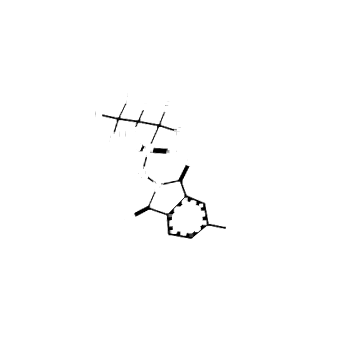 Cc1ccc2c(c1)C(=O)N(OS(=O)(=O)C(F)(F)C(O)(F)C(F)(F)F)C2=O